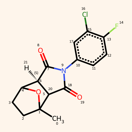 CC12CCC(O1)[C@H]1C(=O)N(c3ccc(F)c(Cl)c3)C(=O)C12